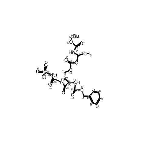 CC(NC(=O)OC(C)(C)C)OC(=O)OC[C@H]1[C@@H](NC(=O)OCc2ccccc2)C(=O)N1C(=O)NS(=O)(=O)Cl